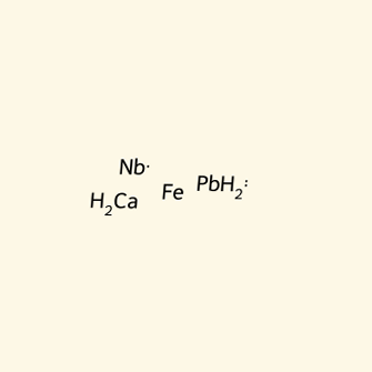 [CaH2].[Fe].[Nb].[PbH2]